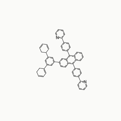 C1=CCCC(c2cc(-c3ccc4c(-c5ccc(-c6ccccn6)cc5)c5ccccc5c(-c5ccc(-c6ccccn6)cc5)c4c3)cc(C3C=CC=CC3)c2)=C1